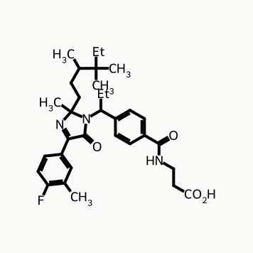 CCC(c1ccc(C(=O)NCCC(=O)O)cc1)N1C(=O)C(c2ccc(F)c(C)c2)=NC1(C)CCC(C)C(C)(C)CC